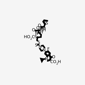 CO[C@@]1(NC(=O)Cc2cccs2)C(=O)N2[C@@H]1CCC(CSC(=S)N1CCN(c3cc4c(cc3F)c(=O)c(C(=O)O)cn4C3CC3)CC1)=S2C(=O)O